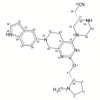 CN1CCC[C@H]1COc1nc2c(c(N3CCN[C@@H](CC#N)C3)n1)CCN(c1ccc3[nH]ccc3c1)C2